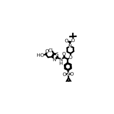 CC(C)(C)OC(=O)N1CCC(OC(C(=O)Nc2nc(CC(=O)O)c(Cl)s2)c2ccc(S(=O)(=O)C3CC3)cc2)CC1